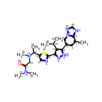 Cc1cc(-c2[nH]nc(-c3ncc(C(C)N(C)CC(=O)N(C)C)s3)c2C(C)C)cn2ncnc12